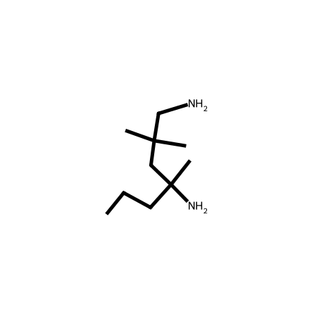 CCCC(C)(N)CC(C)(C)CN